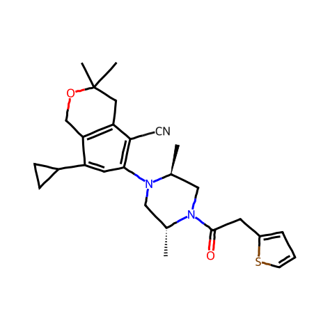 C[C@@H]1CN(c2cc(C3CC3)c3c(c2C#N)CC(C)(C)OC3)[C@@H](C)CN1C(=O)Cc1cccs1